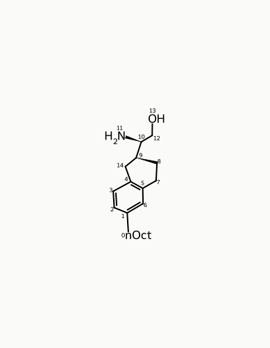 CCCCCCCCc1ccc2c(c1)CC[C@H]([C@@H](N)CO)C2